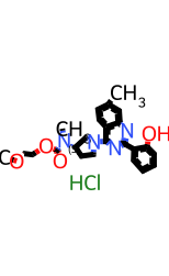 COCCOC(=O)N(C)[C@H]1CCN(c2nc(-c3ccccc3O)nc3cc(C)ccc23)C1.Cl